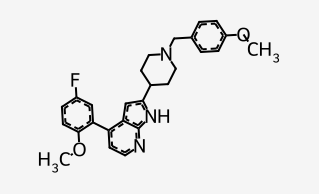 COc1ccc(CN2CCC(c3cc4c(-c5cc(F)ccc5OC)ccnc4[nH]3)CC2)cc1